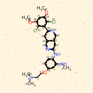 CNc1cc(OCCN(C)C)ccc1Nc1cc2cnc(-c3c(Cl)c(OC)cc(OC)c3Cl)cc2cn1